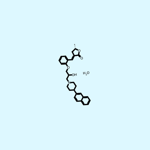 C[C@H]1CC(=Cc2ccccc2OCC(O)CN2CCC(c3ccc4ccccc4c3)CC2)C(=O)O1.O